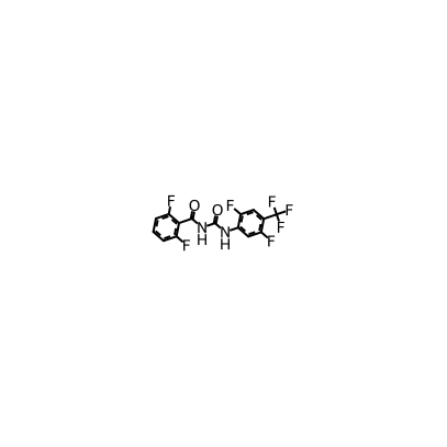 O=C(NC(=O)c1c(F)cccc1F)Nc1cc(F)c(C(F)(F)F)cc1F